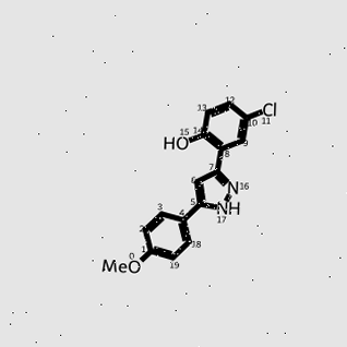 COc1ccc(-c2cc(-c3cc(Cl)ccc3O)n[nH]2)cc1